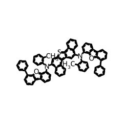 Cc1ccccc1N(c1cc2c(sc3cc(N(c4ccccc4C)c4cccc5c4oc4c(-c6ccccc6)cccc45)c4ccccc4c32)c2ccccc12)c1cccc2c1oc1c(-c3ccccc3)cccc12